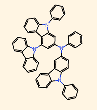 c1ccc(N(c2ccc3c(c2)c2ccccc2n3-c2ccccc2)c2cc(-n3c4ccccc4c4ccccc43)c3c4ccccc4n(-c4ccccc4)c3c2)cc1